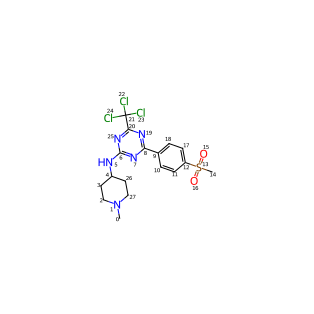 CN1CCC(Nc2nc(-c3ccc(S(C)(=O)=O)cc3)nc(C(Cl)(Cl)Cl)n2)CC1